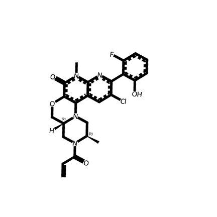 C=CC(=O)N1C[C@@H]2COc3c(c4cc(Cl)c(-c5c(O)cccc5F)nc4n(C)c3=O)N2C[C@H]1C